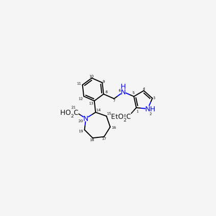 CCOC(=O)c1[nH]ccc1NCc1ccccc1C1CCCCCN1C(=O)O